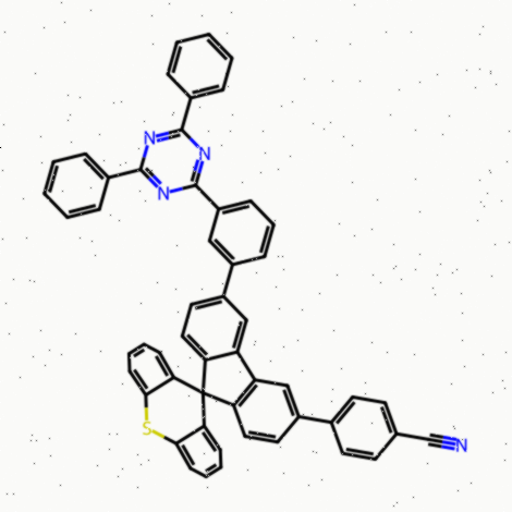 N#Cc1ccc(-c2ccc3c(c2)-c2cc(-c4cccc(-c5nc(-c6ccccc6)nc(-c6ccccc6)n5)c4)ccc2C32c3ccccc3Sc3ccccc32)cc1